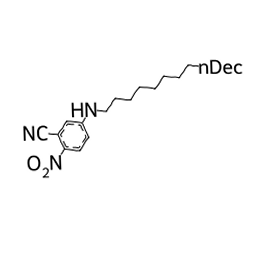 CCCCCCCCCCCCCCCCCCNc1ccc([N+](=O)[O-])c(C#N)c1